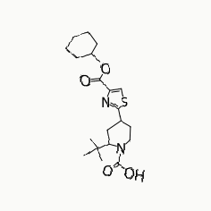 CC(C)(C)C1CC(c2nc(C(=O)OC3CCCCC3)cs2)CCN1C(=O)O